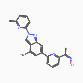 C/C(=N/O)c1cccc(-c2cc(C#N)c3cn(-c4cccc(C)n4)nc3c2)n1